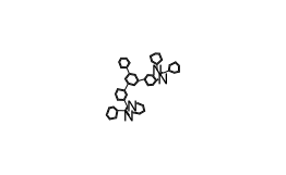 c1ccc(-c2cc(-c3cccc(-c4c(-c5ccccc5)nc5ccccn45)c3)cc(-c3ccc4nc(-c5ccccc5)n(-c5ccccc5)c4c3)c2)cc1